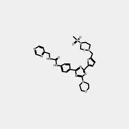 CS(=O)(=O)N1CCN(Cc2ccc(-c3nc(-c4ccc(NC(=O)NCc5ccncn5)cc4)nc(N4CCOCC4)n3)s2)CC1